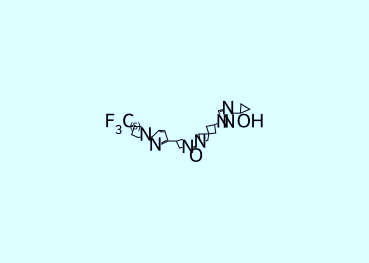 O=C(N1CC(c2ccc(N3CC[C@H](C(F)(F)F)C3)nc2)C1)N1CC2(CC(n3cnc(C4(O)CC4)n3)C2)C1